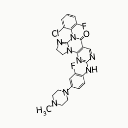 CN1CCN(c2ccc(Nc3ncc4c(n3)N3CCN=C3N(c3c(F)cccc3Cl)C4=O)c(F)c2)CC1